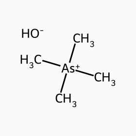 C[As+](C)(C)C.[OH-]